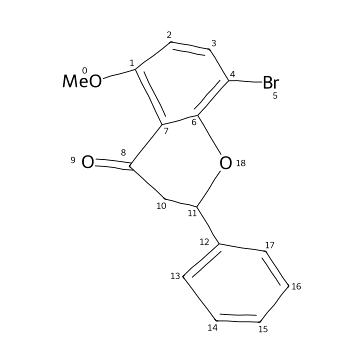 COc1ccc(Br)c2c1C(=O)CC(c1ccccc1)O2